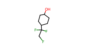 OC1CCC(C(F)(F)CF)CC1